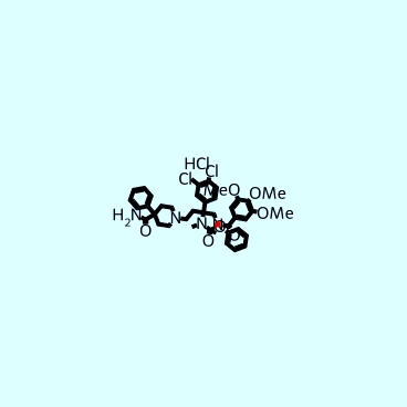 COc1cc(C(=O)N(C)CC(CCN2CCC(C(N)=O)(c3ccccc3)CC2)(c2ccc(Cl)c(Cl)c2)N(C)C(=O)Oc2ccccc2)cc(OC)c1OC.Cl